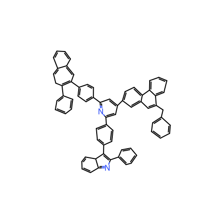 C1=CC2=NC(c3ccccc3)=C(c3ccc(-c4cc(-c5ccc6c(c5)cc(Cc5ccccc5)c5ccccc56)cc(-c5ccc(C6=C(c7ccccc7)CC=c7ccccc7=C6)cc5)n4)cc3)C2C=C1